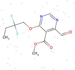 CCC(F)(F)COc1ncnc(C=O)c1C(=O)OC